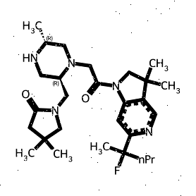 CCCC(C)(F)c1cc2c(cn1)C(C)(C)CN2C(=O)CN1C[C@@H](C)NC[C@@H]1CN1CC(C)(C)CC1=O